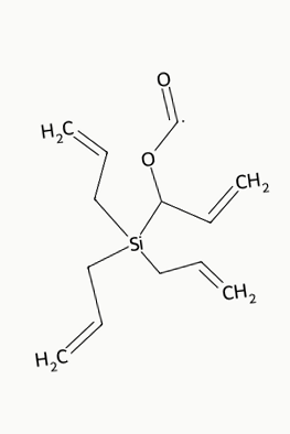 C=CC[Si](CC=C)(CC=C)C(C=C)O[C]=O